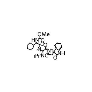 COC(=O)N[C@H](C(=O)N(C)[C@@H](CC(C)C)C(=O)N1C[C@]2(C[C@H]1C#N)C(=O)Nc1ccccc12)C1CCCCC1